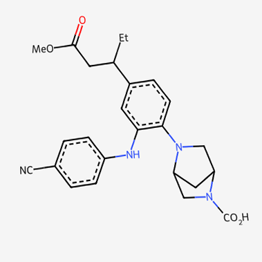 CCC(CC(=O)OC)c1ccc(N2CC3CC2CN3C(=O)O)c(Nc2ccc(C#N)cc2)c1